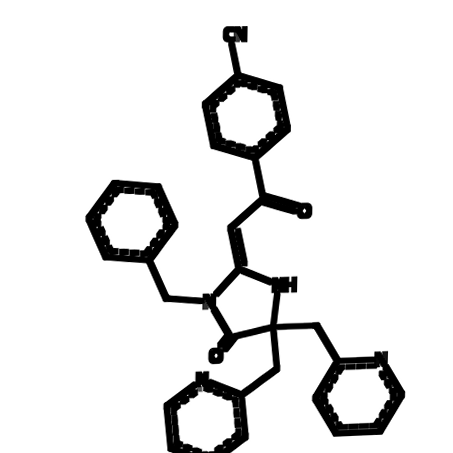 N#Cc1ccc(C(=O)C=C2NC(Cc3ccccn3)(Cc3ccccn3)C(=O)N2Cc2ccccc2)cc1